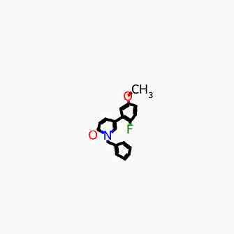 COc1ccc(F)c(-c2ccc(=O)n(Cc3ccccc3)c2)c1